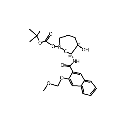 COCOc1cc2ccccc2cc1C(=O)N[C@@H]1CN(OC(=O)OC(C)(C)C)CCC[C@H]1O